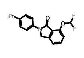 CC(C)c1ccc(N2Cc3cccc(OC(F)F)c3C2=O)cc1